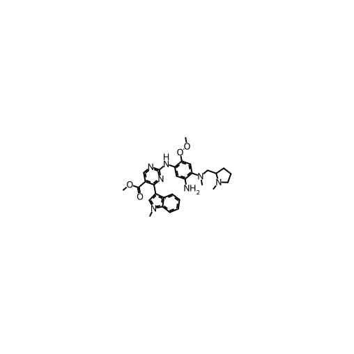 COOc1cc(N(C)CC2CCCN2C)c(N)cc1Nc1ncc(C(=O)OC)c(-c2cn(C)c3ccccc23)n1